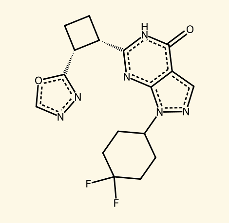 O=c1[nH]c([C@H]2CC[C@H]2c2nnco2)nc2c1cnn2C1CCC(F)(F)CC1